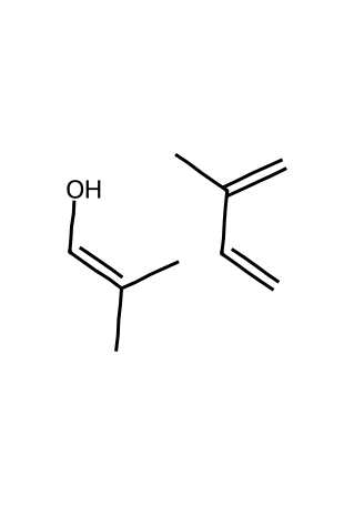 C=CC(=C)C.CC(C)=CO